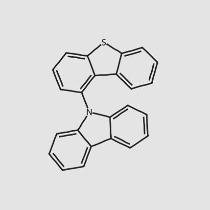 c1ccc2c(c1)sc1cccc(-n3c4ccccc4c4ccccc43)c12